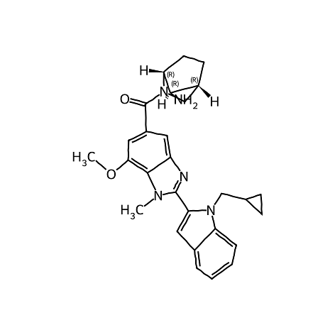 COc1cc(C(=O)N2C[C@H]3CC[C@@H]2[C@@H]3N)cc2nc(-c3cc4ccccc4n3CC3CC3)n(C)c12